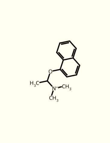 CC(Oc1cccc2ccccc12)[N+](C)C